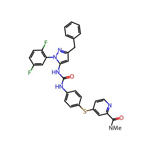 CNC(=O)c1cc(Sc2ccc(NC(=O)Nc3cc(Cc4ccccc4)nn3-c3cc(F)ccc3F)cc2)ccn1